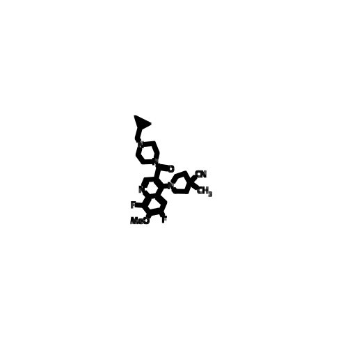 COc1c(F)cc2c(N3CCC(C)(C#N)CC3)c(C(=O)N3CCN(CC4CC4)CC3)cnc2c1F